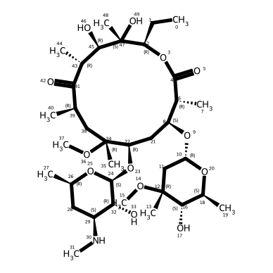 CC[C@H]1OC(=O)[C@H](C)[C@@H](O[C@H]2C[C@@](C)(OC)[C@@H](O)[C@H](C)O2)C[C@@H](O[C@@H]2O[C@H](C)C[C@H](NC)[C@H]2O)[C@](C)(OC)C[C@@H](C)C(=O)[C@H](C)[C@@H](O)[C@]1(C)O